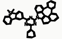 C[Si]1(C)c2ccccc2-c2cc(-c3nc(-c4ccccc4)nc(-n4c5cccc6c5c5c7c(cccc7ccc54)-c4ccccc4-6)n3)ccc21